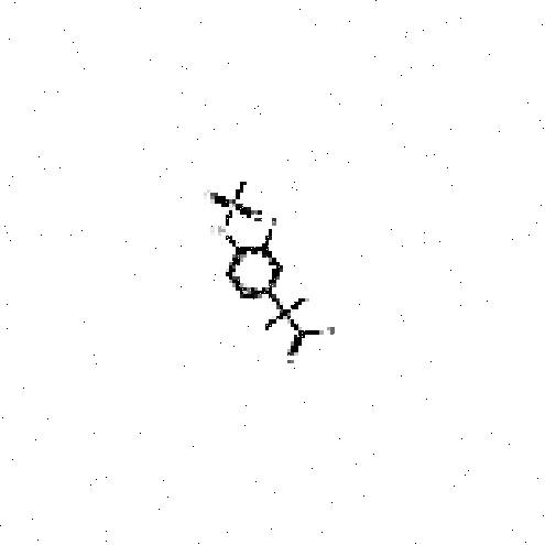 CC(C)(C(=O)O)c1ccc(NS(C)(=O)=O)c(F)c1